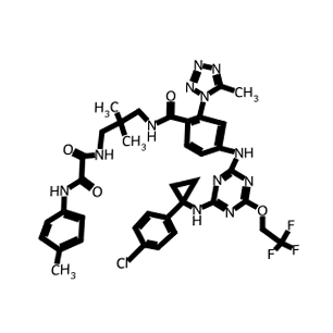 Cc1ccc(NC(=O)C(=O)NCC(C)(C)CNC(=O)c2ccc(Nc3nc(NC4(c5ccc(Cl)cc5)CC4)nc(OCC(F)(F)F)n3)cc2-n2nnnc2C)cc1